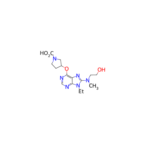 CCn1c(N(C)CCO)nc2c(OC3CCN(C(=O)O)C3)ncnc21